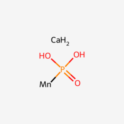 O=[P](O)(O)[Mn].[CaH2]